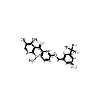 COc1ncc(Cl)c(C)c1C(=O)c1cccc(OCc2cc(Cl)cc(C(F)(F)F)c2)n1